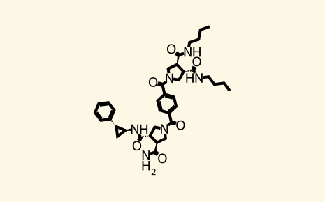 CCCCNC(=O)[C@@H]1CN(C(=O)c2ccc(C(=O)N3C[C@@H](C(N)=O)[C@H](C(=O)N[C@H]4C[C@@H]4c4ccccc4)C3)cc2)C[C@H]1C(=O)NCCCC